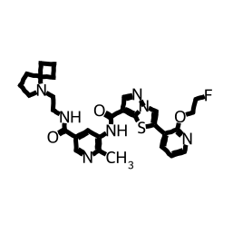 Cc1ncc(C(=O)NCCN2CCCC23CCC3)cc1NC(=O)c1cnn2cc(-c3cccnc3OCCF)sc12